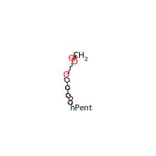 C=CC(=O)OCCCCCCOC1CCC(c2ccc(-c3ccc4c(c3)Cc3cc(CCCCC)ccc3-4)cc2)CC1